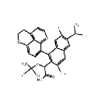 CC(=O)[C@@H](OC(C)(C)C)c1c(C)cc2cc(C(C)C)c(F)cc2c1-c1ccc2c3c(ccnc13)CCO2